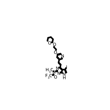 CN(C(=O)C(F)(F)F)c1nc(/C=C/c2cncc(OCCOC3CCCCO3)c2)c2c(I)c[nH]c2n1